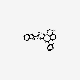 O=C(NC1N=C(c2ccccc2F)c2cccc3c2N(CCN3)C1=O)c1cc2ccccc2[nH]1